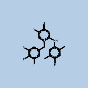 Cc1cc(Nc2nc(=O)c(F)cn2Cc2cc(F)c(F)c(F)c2)c(C)cc1F